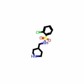 O=S(=O)(NCC1CCNCC1)c1ccccc1Cl